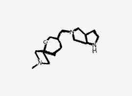 CN1CC2(CCC(CN3CC4CCNC4C3)CO2)C1